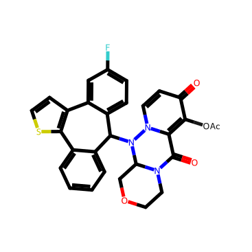 CC(=O)Oc1c2n(ccc1=O)N(C1c3ccc(F)cc3-c3ccsc3-c3ccccc31)C1COCCN1C2=O